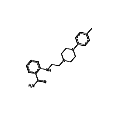 Cc1ccc(N2CCN(CCNc3ccccc3C(N)=O)CC2)cc1